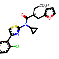 O=C(O)C[C@@H](Cc1ccco1)C(=O)N(c1nc(-c2ccccc2Cl)cs1)C1CC1